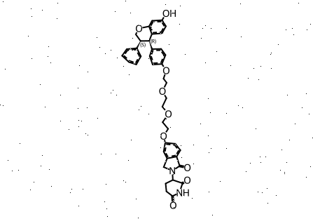 O=C1CCC(N2Cc3cc(OCCOCCOCCOc4ccc([C@@H]5c6ccc(O)cc6OC[C@@H]5c5ccccc5)cc4)ccc3C2=O)C(=O)N1